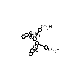 CN(c1ccccc1C#Cc1ccc(C(=O)O)cc1)S(=O)(=O)c1ccc2ccccc2c1.O=C(O)c1ccc(C#Cc2ccccc2CS(=O)(=O)c2ccc3ccccc3c2)cc1